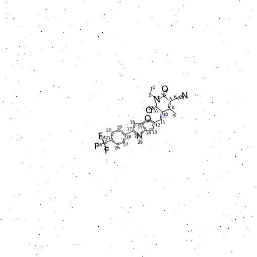 CCN1C(=O)C(C#N)=C(C)/C(=C/c2cc3c(cc(-c4ccc(C(F)(F)F)cc4)n3C)o2)C1=O